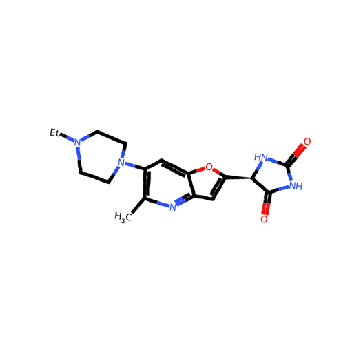 CCN1CCN(c2cc3oc([C@H]4NC(=O)NC4=O)cc3nc2C)CC1